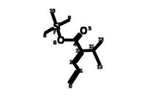 C=C/C=C(/C(=O)O[Si](C)(C)C)C(C)C